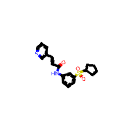 O=C(C=Cc1cccnc1)Nc1cccc(S(=O)(=O)C2CCCC2)c1